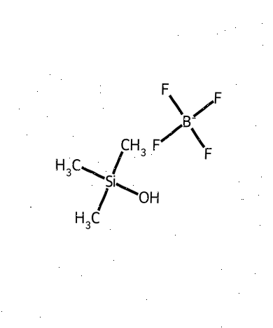 C[Si](C)(C)O.F[B-](F)(F)F